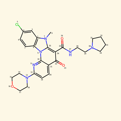 Cn1c2cc(Cl)ccc2n2c3nc(N4CCOCC4)ccc3c(=O)c(C(=O)NCCN3CCCC3)c12